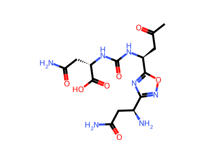 CC(=O)C[C@H](NC(=O)N[C@@H](CC(N)=O)C(=O)O)c1nc([C@@H](N)CC(N)=O)no1